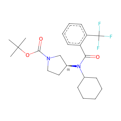 CC(C)(C)OC(=O)N1CC[C@H](N(C(=O)c2ccccc2C(F)(F)F)C2CCCCC2)C1